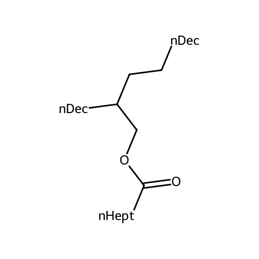 CCCCCCCCCCCCC(CCCCCCCCCC)COC(=O)CCCCCCC